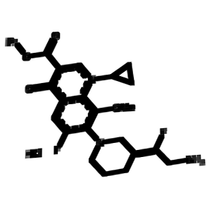 COc1c(N2CCCC(=C(F)CN)C2)c(F)cc2c(=O)c(C(=O)OC(C)C)cn(C3CC3)c12.Cl